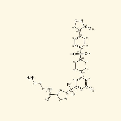 NCCCNC(=O)C1CCC(C(F)(F)c2cc(Cl)nc(N3CCN(S(=O)(=O)c4ccc(N5CCCC5=O)cc4)CC3)c2)C1